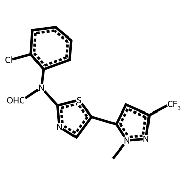 Cn1nc(C(F)(F)F)cc1-c1cnc(N(C=O)c2ccccc2Cl)s1